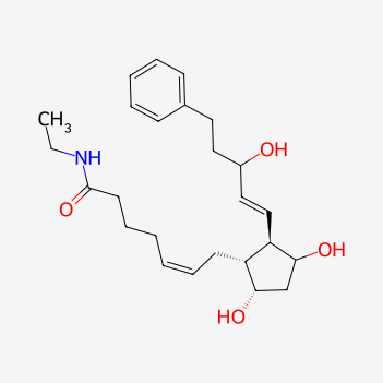 CCNC(=O)CCC/C=C\C[C@H]1[C@@H](O)CC(O)[C@@H]1/C=C/C(O)CCc1ccccc1